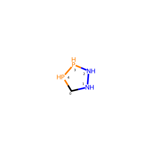 C1NNPP1